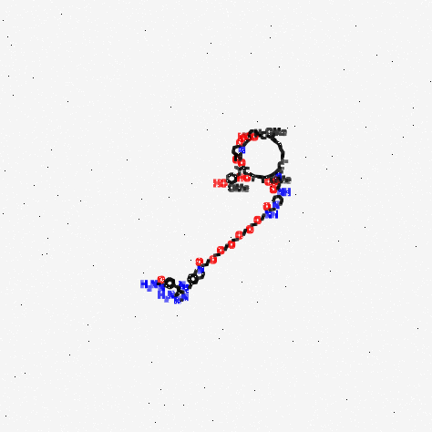 CO[C@H]1C[C@@H]2CC[C@@H](C)[C@@](O)(O2)C(=O)C(=O)N2CCCC[C@H]2C(=O)O[C@H]([C@H](C)C[C@@H]2CC[C@@H](O)[C@H](OC)C2)C[C@@H](O)[C@H](C)/C=C(\C)[C@@H](O)[C@@H](OC)C(=NOCC(=O)NC2CCN(CC(=O)NCCOCCOCCOCCOCCOCCOCCC(=O)N3CCc4cc(Cn5nc(-c6ccc7oc(N)nc7c6)c6c(N)ncnc65)ccc4C3)CC2)[C@H](C)C[C@H](C)/C=C/C=C/C=C/1C